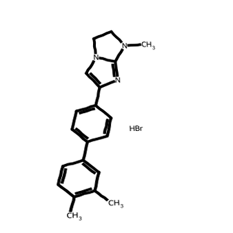 Br.Cc1ccc(-c2ccc(-c3cn4c(n3)N(C)CC4)cc2)cc1C